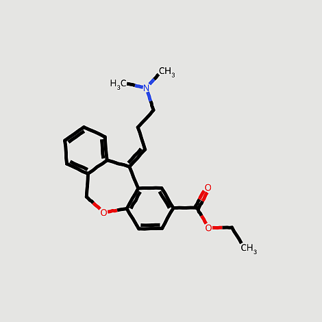 CCOC(=O)c1ccc2c(c1)/C(=C/CCN(C)C)c1ccccc1CO2